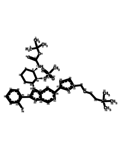 CC(C)(C)OC(=O)N[C@H]1CCC[C@@H](n2c(-c3ccccc3F)nc3cnc(-c4ncn(COCC[Si](C)(C)C)n4)cc32)[C@H]1OS(C)(=O)=O